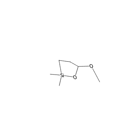 COC1CC[Si](C)(C)O1